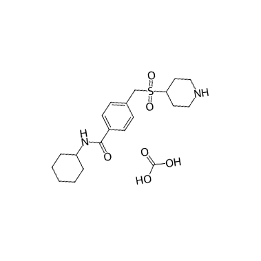 O=C(NC1CCCCC1)c1ccc(CS(=O)(=O)C2CCNCC2)cc1.O=C(O)O